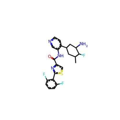 CC1CC(c2ccncc2NC(=O)c2csc(-c3c(F)cccc3F)n2)CC(N)C1F